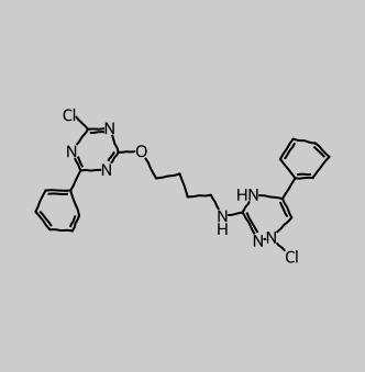 Clc1nc(OCCCCNC2=NN(Cl)C=C(c3ccccc3)N2)nc(-c2ccccc2)n1